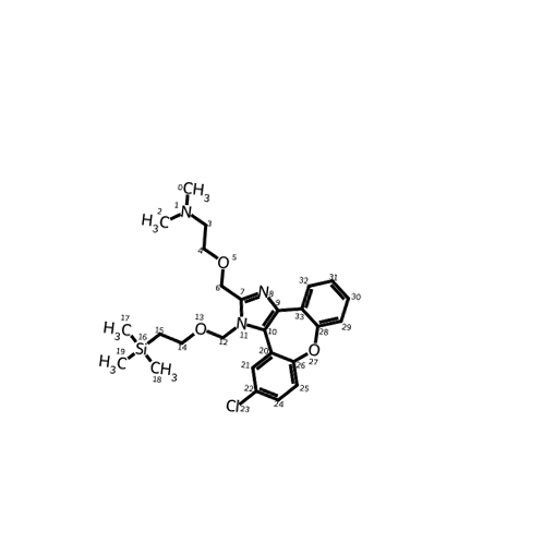 CN(C)CCOCc1nc2c(n1COCC[Si](C)(C)C)-c1cc(Cl)ccc1Oc1ccccc1-2